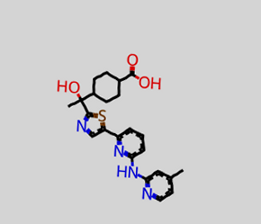 Cc1ccnc(Nc2cccc(-c3cnc(C(C)(O)C4CCC(C(=O)O)CC4)s3)n2)c1